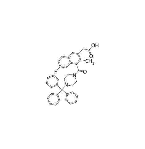 Cc1c(CC(=O)O)cc2ccc(F)cc2c1C(=O)N1CCN(C(c2ccccc2)(c2ccccc2)c2ccccc2)CC1